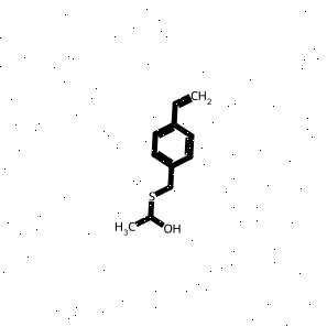 C=Cc1ccc(CSC(C)O)cc1